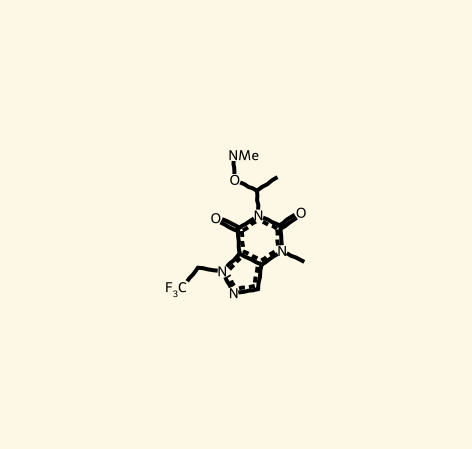 CNOC(C)n1c(=O)c2c(cnn2CC(F)(F)F)n(C)c1=O